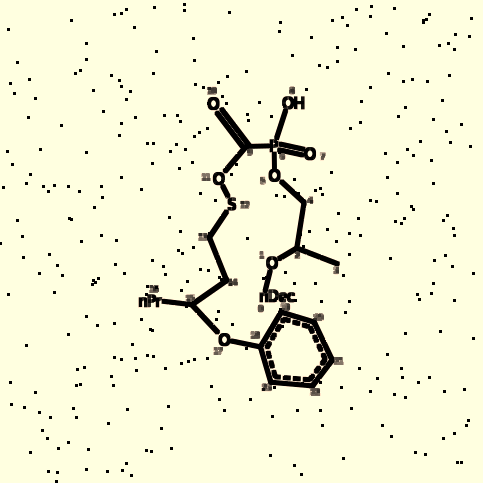 CCCCCCCCCCOC(C)COP(=O)(O)C(=O)OSCCC(CCC)Oc1ccccc1